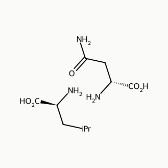 CC(C)C[C@H](N)C(=O)O.NC(=O)C[C@@H](N)C(=O)O